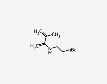 C=C(C)C(=C)NCCCCCC